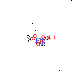 CC(C)(C)OC(=O)N1CCCC1C(=O)NC(CCCNC(=O)OCC1c2ccccc2-c2ccccc21)C(=O)NC1CC(C)(C)N(O)C(C)(C)C1